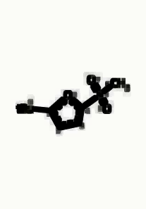 CC(C)(C)c1ccc(S(C)(=O)=O)o1